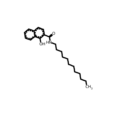 CCCCCCCCCCCCNC(=O)c1ccc2ccccc2c1O